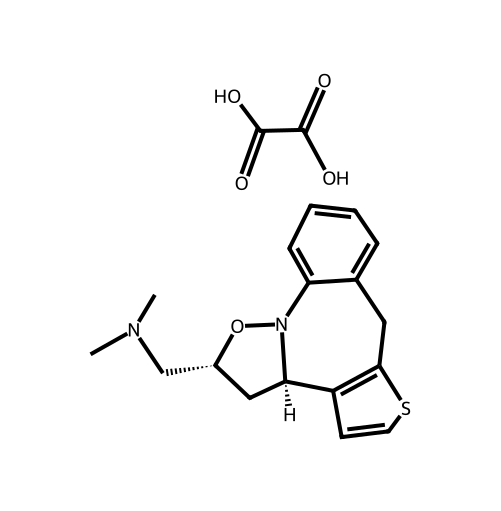 CN(C)C[C@H]1C[C@@H]2c3ccsc3Cc3ccccc3N2O1.O=C(O)C(=O)O